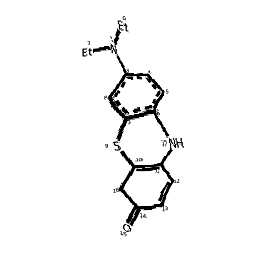 CCN(CC)c1ccc2c(c1)SC1=C(C=CC(=O)C1)N2